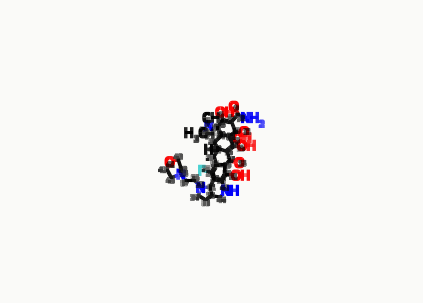 CN(C)[C@@H]1C(O)=C(C(N)=O)C(=O)[C@@]2(O)C(O)=C3C(=O)c4c(O)c5c(c(F)c4C[C@H]3C[C@@H]12)C1C(CCN1CCN1CCOCC1)CN5